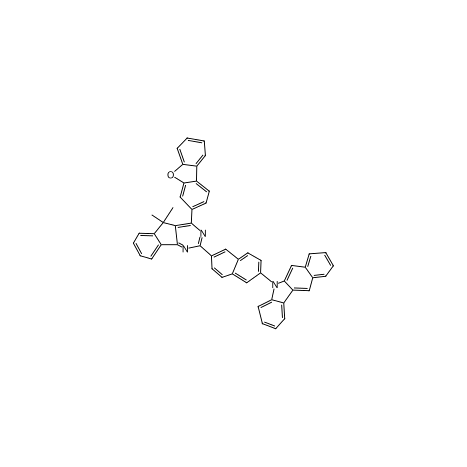 CC1(C)c2ccccc2-c2nc(-c3ccc4cc(-n5c6ccccc6c6cc7ccccc7cc65)ccc4c3)nc(-c3ccc4c(c3)oc3ccccc34)c21